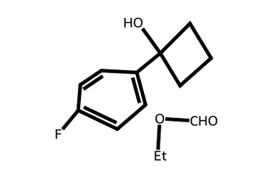 CCOC=O.OC1(c2ccc(F)cc2)CCC1